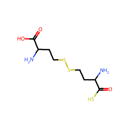 NC(CCSSCCC(N)C(=O)S)C(=O)O